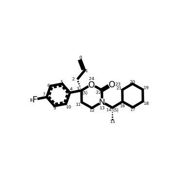 C=CC[C@@]1(c2ccc(F)cc2)CCN([C@@H](C)C2CCCCC2)C(=O)O1